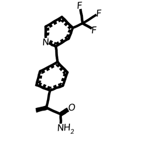 C=C(C(N)=O)c1ccc(-c2cc(C(F)(F)F)ccn2)cc1